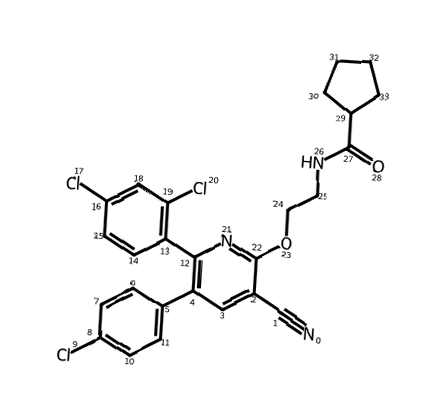 N#Cc1cc(-c2ccc(Cl)cc2)c(-c2ccc(Cl)cc2Cl)nc1OCCNC(=O)C1CCCC1